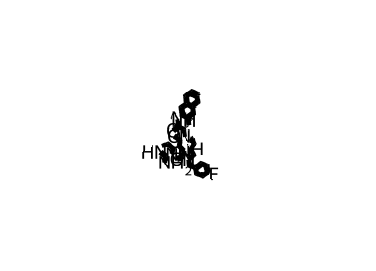 CCC(NC(=N)N)[C@H]1C(=O)N([C@@H](Cc2ccc3ccccc3c2)C(=O)NC)CC[C@H]2CN(Cc3ccc(F)cc3)C(=O)N21